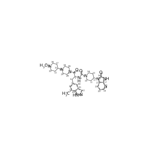 Cc1cc(CC(NC(=O)N2CCC(n3c(=O)[nH]c4ncccc43)CC2)C(=O)N2CCN(C3CCN(C)CC3)CC2)cc2cn[nH]c12